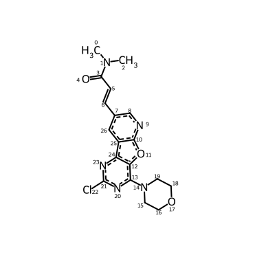 CN(C)C(=O)/C=C/c1cnc2oc3c(N4CCOCC4)nc(Cl)nc3c2c1